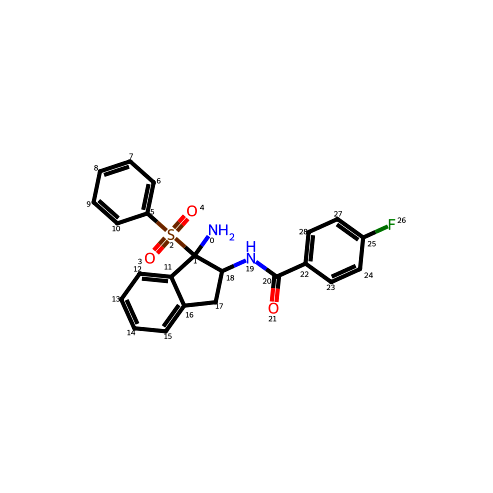 NC1(S(=O)(=O)c2ccccc2)c2ccccc2CC1NC(=O)c1ccc(F)cc1